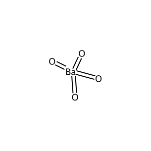 [O]=[Ba](=[O])(=[O])=[O]